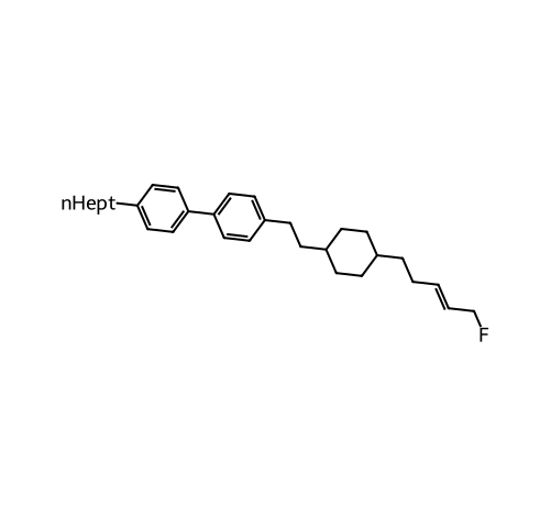 CCCCCCCc1ccc(-c2ccc(CCC3CCC(CCC=CCF)CC3)cc2)cc1